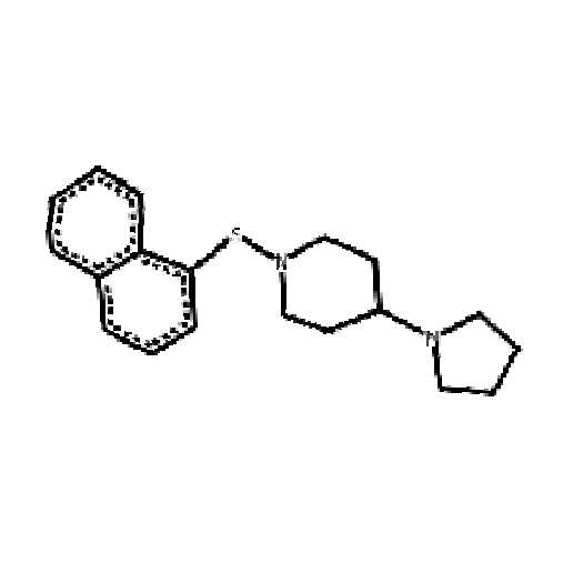 c1ccc2c(SN3CCC(N4CCCC4)CC3)cccc2c1